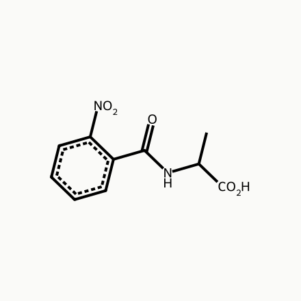 CC(NC(=O)c1ccccc1[N+](=O)[O-])C(=O)O